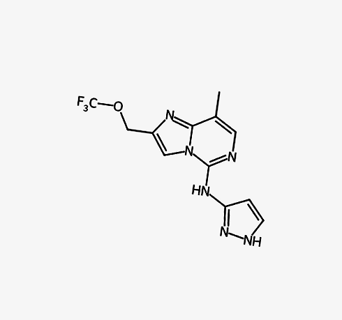 Cc1cnc(Nc2cc[nH]n2)n2cc(COC(F)(F)F)nc12